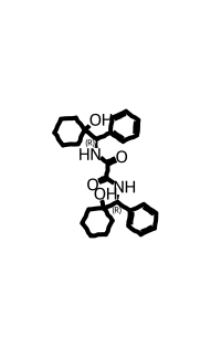 O=C(N[C@H](c1ccccc1)C1(O)CCCCC1)C(=O)N[C@H](c1ccccc1)C1(O)CCCCC1